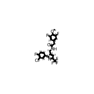 COc1c(F)cc(CC(=O)NCc2cc(C(F)(F)F)nn2-c2ccc(F)c(Cl)c2)cc1F